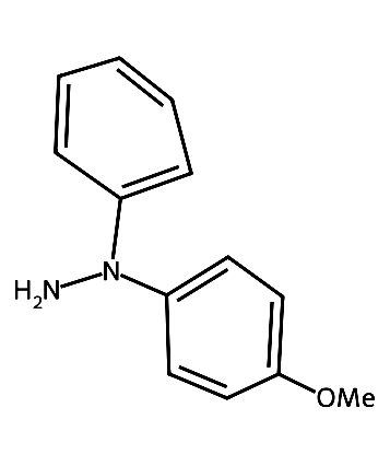 COc1ccc(N(N)c2ccccc2)cc1